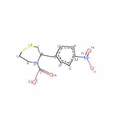 O=C(O)N1CCSCC1c1ccc([N+](=O)[O-])cc1